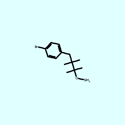 CC(C)(Cc1ccc(Br)cc1)C(C)(C)O[SiH3]